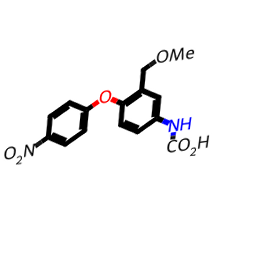 COCc1cc(NC(=O)O)ccc1Oc1ccc([N+](=O)[O-])cc1